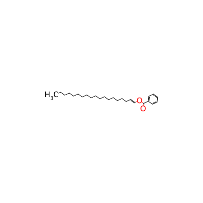 CCCCCCCCCCCCCCCCCC=COC(=O)c1ccccc1